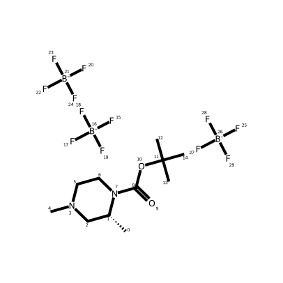 C[C@@H]1CN(C)CCN1C(=O)OC(C)(C)C.F[B-](F)(F)F.F[B-](F)(F)F.F[B-](F)(F)F